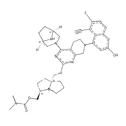 C#Cc1c(F)ccc2cc(O)cc(N3CCc4c(nc(OC[C@]56CCCN5[C@@H](COC(=O)N(C)C)CC6)nc4N4C[C@H]5CC[C@@H](C4)N5)C3)c12